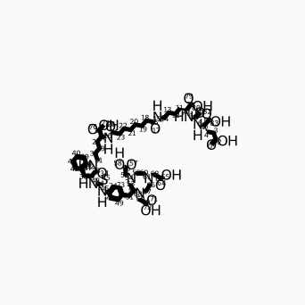 O=C(O)CC[C@H](NC(=O)N[C@@H](CCCCNC(=O)CCCCCCC(=O)NC(CCCCNC(=O)C(Cc1ccccc1)NC(=S)Nc1ccc(CC2CN(CC(=O)O)CCN(CC(=O)O)CCN2CC(=O)O)cc1)C(=O)O)C(=O)O)C(=O)O